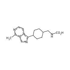 Cc1nccn2c(C3CCC(CNC(=O)O)CC3)ncc12